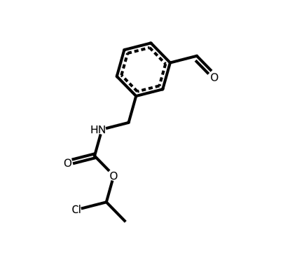 CC(Cl)OC(=O)NCc1cccc(C=O)c1